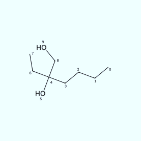 CCCCC(O)(CC)CO